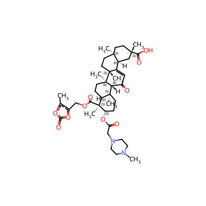 Cc1oc(=O)oc1COC(=O)[C@]1(C)[C@@H](OC(=O)CN2CCN(C)CC2)CC[C@@]2(C)[C@H]1CC[C@]1(C)[C@@H]2C(=O)C=C2[C@@H]3C[C@@](C)(C(=O)O)CC[C@]3(C)CC[C@]21C